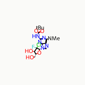 CNc1nc(NC(=O)OC(C)(C)C)nc2c1ncn2[C@@H]1O[C@H](CO)[C@@H](O)[C@]1(F)Cl